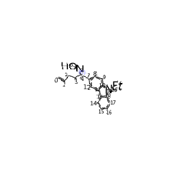 C=CCC/C(=N\O)c1ccc2c(c1)c1ccccc1n2CC